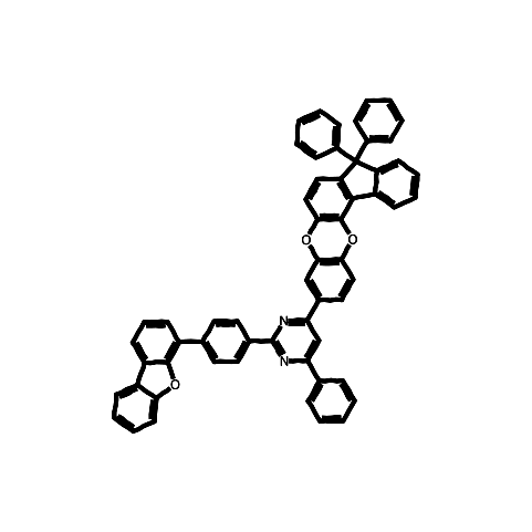 c1ccc(-c2cc(-c3ccc4c(c3)Oc3ccc5c(c3O4)-c3ccccc3C5(c3ccccc3)c3ccccc3)nc(-c3ccc(-c4cccc5c4oc4ccccc45)cc3)n2)cc1